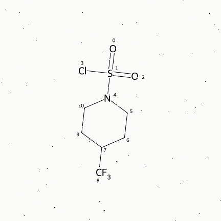 O=S(=O)(Cl)N1CCC(C(F)(F)F)CC1